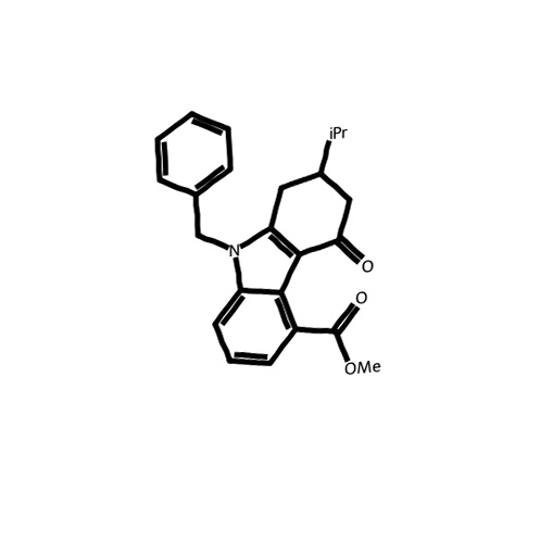 COC(=O)c1cccc2c1c1c(n2Cc2ccccc2)CC(C(C)C)CC1=O